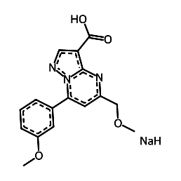 COCc1cc(-c2cccc(OC)c2)n2ncc(C(=O)O)c2n1.[NaH]